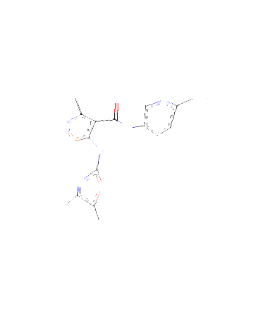 CCc1oc(Nc2snc(C)c2C(=O)Nc2ccc(OC)nc2)nc1C(=O)O